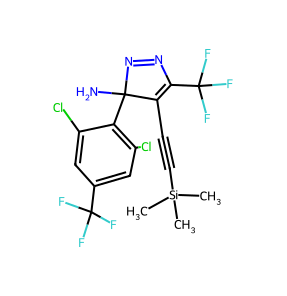 C[Si](C)(C)C#CC1=C(C(F)(F)F)N=NC1(N)c1c(Cl)cc(C(F)(F)F)cc1Cl